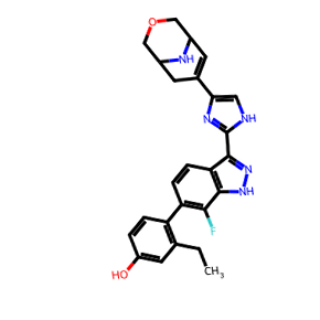 CCc1cc(O)ccc1-c1ccc2c(-c3nc(C4=CC5COCC(C4)N5)c[nH]3)n[nH]c2c1F